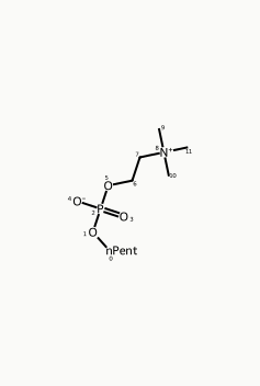 CCCCCOP(=O)([O-])OCC[N+](C)(C)C